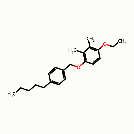 CCCCCc1ccc(COc2ccc(OCC)c(C)c2C)cc1